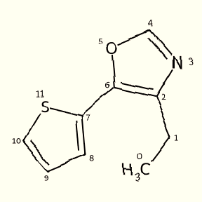 CCc1ncoc1-c1cccs1